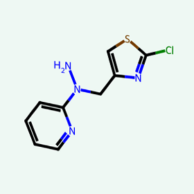 NN(Cc1csc(Cl)n1)c1ccccn1